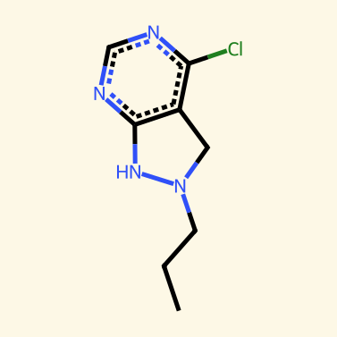 CCCN1Cc2c(Cl)ncnc2N1